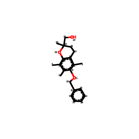 Cc1c(C)c2c(c(C)c1OCc1ccccc1)CCC(C)(CO)O2